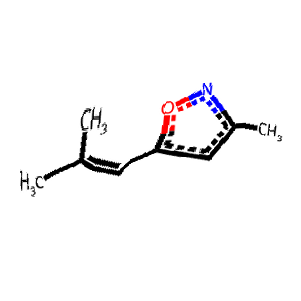 CC(C)=Cc1cc(C)no1